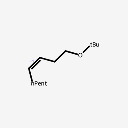 CCCCC/C=C\CCOC(C)(C)C